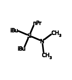 CCC[Si](C(C)CC)(C(C)CC)N(C)C